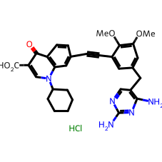 COc1cc(Cc2cnc(N)nc2N)cc(C#Cc2ccc3c(=O)c(C(=O)O)cn(C4CCCCC4)c3c2)c1OC.Cl